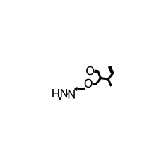 C=CC(C)C(C=O)COCC=NNC